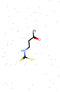 CC(C)C(=O)CCNC(=S)S